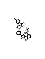 CC(=O)N(CC(Cl)(Cl)C(=O)c1ccc(F)cc1)c1cccc(-c2cc(-c3c(Cl)cccc3C(=O)OC(C)(C)C)no2)c1